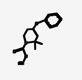 CC(C)(C)OC(=O)N1CCC(Oc2ccccc2)CC1(C)C